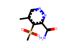 Cc1cnnc(C(N)=O)c1S(C)(=O)=O